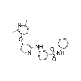 Cc1ccc(Oc2ccnc(Nc3cccc(S(=O)(=O)Nc4ccccc4)c3)c2)c(C)n1